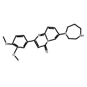 COc1ccc(-c2cc(=O)n3cc(N4CCCNCC4)ccc3n2)cc1OC